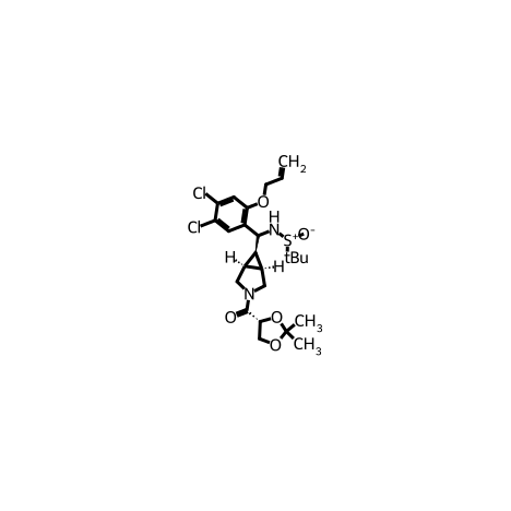 C=CCOc1cc(Cl)c(Cl)cc1C(N[S+]([O-])C(C)(C)C)[C@@H]1[C@@H]2CN(C(=O)[C@H]3COC(C)(C)O3)C[C@@H]21